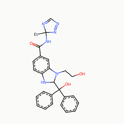 CCC1(NC(=O)c2ccc3c(c2)N(CCO)C(C(O)(c2ccccc2)c2ccccc2)N3)N=CN=N1